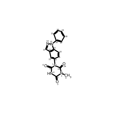 Cn1c(=O)[nH]c(=O)n(-c2ccc3c(cnn3-c3ccccc3)c2)c1=O